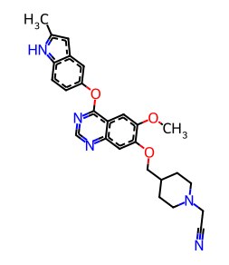 COc1cc2c(Oc3ccc4[nH]c(C)cc4c3)ncnc2cc1OCC1CCN(CC#N)CC1